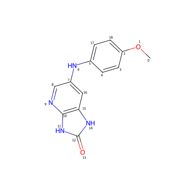 COc1ccc(Nc2cnc3[nH]c(=O)[nH]c3c2)cc1